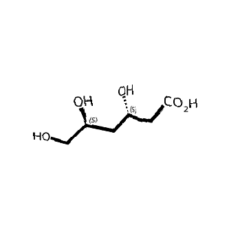 O=C(O)C[C@@H](O)C[C@H](O)CO